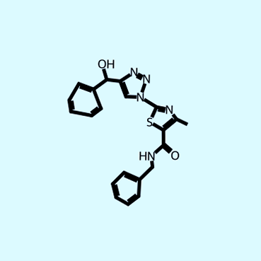 Cc1nc(-n2cc(C(O)c3ccccc3)nn2)sc1C(=O)NCc1ccccc1